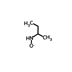 CCC(C)N[O]